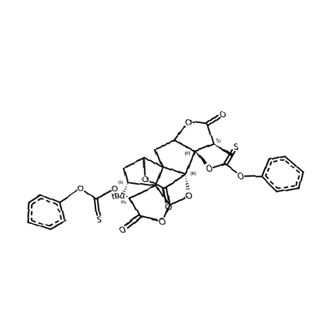 C[C@@H]1C(=O)OC2CC34C5C[C@@H](C(C)(C)C)C36C(OC(=O)[C@@H]6OC(=S)Oc3ccccc3)O[C@@]4(C(=O)O5)[C@]21OC(=S)Oc1ccccc1